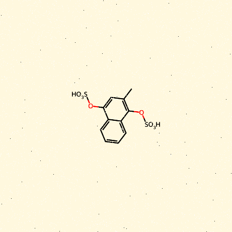 Cc1cc(OS(=O)(=O)O)c2ccccc2c1OS(=O)(=O)O